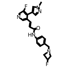 Cn1cc(-c2c(F)cncc2C=CC(=O)Nc2ccc(CN3CC(F)C3)cc2)cn1